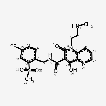 CNCCn1c(=O)c(C(=O)NCc2ccc(F)cc2S(C)(=O)=O)c(O)c2ncccc21